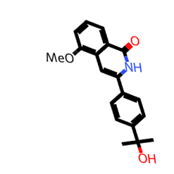 COc1cccc2c(=O)[nH]c(-c3ccc(C(C)(C)O)cc3)cc12